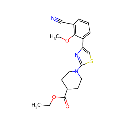 CCOC(=O)C1CCN(c2nc(-c3cccc(C#N)c3OC)cs2)CC1